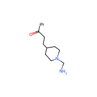 CC(C)C(=O)CCC1CCN(CN)CC1